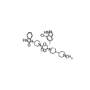 CN1CCC(C2CCN(C(=O)[C@@H](Cc3cc(Cl)c4[nH]ncc4c3)OC(=O)N3CCC(n4c(=O)[nH]c5ccccc54)CC3)CC2)CC1